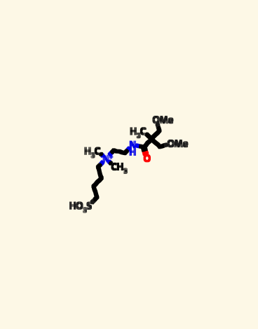 COCC(C)(COC)C(=O)NCC[N+](C)(C)CCCCS(=O)(=O)O